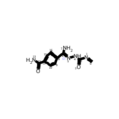 C=NC(=O)N/N=C(\N)c1ccc(C(N)=O)cc1